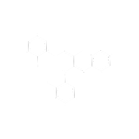 CC(=CSc1ccccc1C)C(=Nc1ccccc1)Sc1ccccc1C